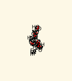 CC[C@H](C)[C@H](NC(=O)[C@H](CC(C)C)N(C)C(=O)C[C@@H](C(=O)N(C)C)N(C)C(=O)[C@H](C1CCCC1)N(C)C(=O)C1(NC(=O)[C@@H]2CCCN2C(=O)[C@H](CCc2cc(F)c(C(F)(F)F)c(F)c2)NC(=O)OCc2ccccc2)CCCC1)C(=O)N(C)[C@@H](C)C(=O)N1CC[C@H]1C(=O)N(CC)[C@@H](Cc1ccc(C)cc1)C(=O)N(C)CC(=O)O